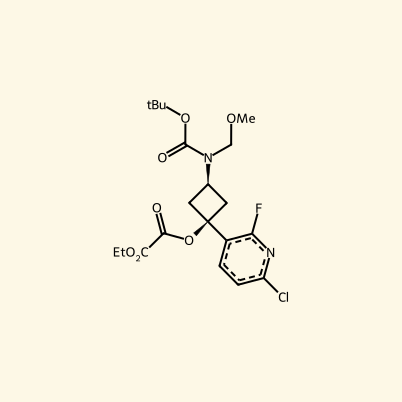 CCOC(=O)C(=O)O[C@]1(c2ccc(Cl)nc2F)C[C@H](N(COC)C(=O)OC(C)(C)C)C1